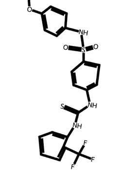 COc1ccc(NS(=O)(=O)c2ccc(NC(=S)Nc3ccccc3C(F)(F)F)cc2)cc1